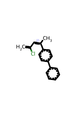 C=C(Cl)/C=C(/C)c1ccc(-c2ccccc2)cc1